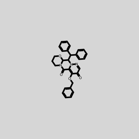 O=C1c2c(OCc3ccccc3)c(=O)cnn2C(C(c2ccccc2)c2ccccc2)C2OCCCN12